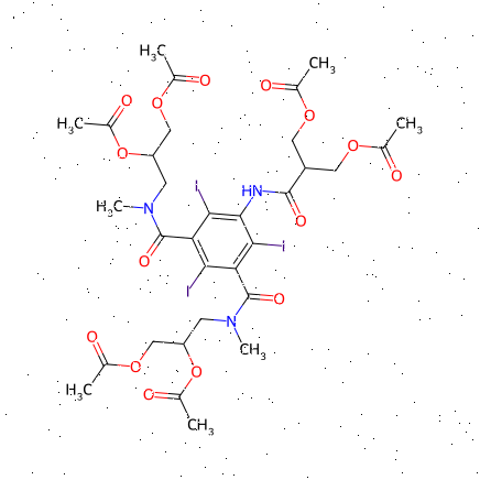 CC(=O)OCC(CN(C)C(=O)c1c(I)c(NC(=O)C(COC(C)=O)COC(C)=O)c(I)c(C(=O)N(C)CC(COC(C)=O)OC(C)=O)c1I)OC(C)=O